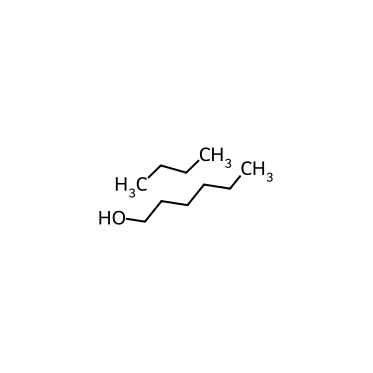 CCCC.CCCCCCO